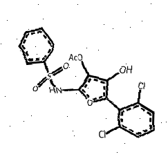 CC(=O)Oc1c(NS(=O)(=O)c2ccccc2)oc(-c2c(Cl)cccc2Cl)c1O